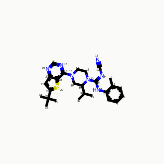 Cc1ccccc1N/C(=N/C#N)N1CCN(c2ncnc3cc(C(C)(C)C)sc23)CC1C(C)C